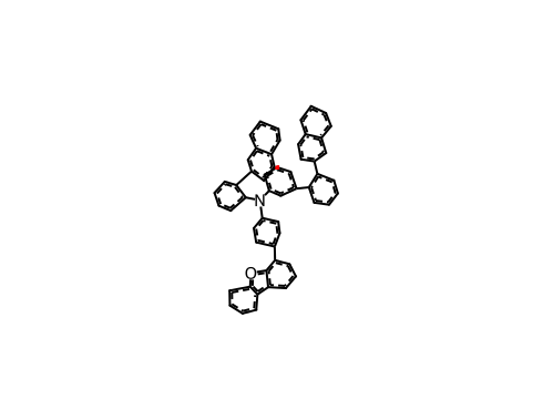 c1cc(-c2ccccc2-c2ccc3ccccc3c2)cc(N(c2ccc(-c3cccc4c3oc3ccccc34)cc2)c2ccccc2-c2ccc3ccccc3c2)c1